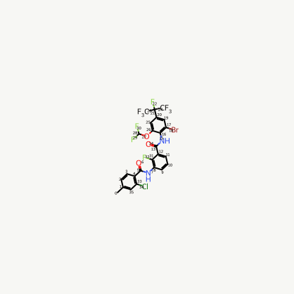 Cc1ccc(C(=O)Nc2cccc(C(=O)Nc3c(Br)cc(C(F)(C(F)(F)F)C(F)(F)F)cc3OC(F)F)c2F)c(Cl)c1